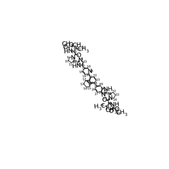 COC(=O)N[C@H](C(=O)N1CCC[C@H]1c1ncc(-c2ccc(-c3ccc(-c4ccc5nc([C@@H]6CCCN6C(=O)[C@@H](NC(=O)OC)C(C)C)[nH]c5c4)c4c3C3CCC4CC3)nc2)[nH]1)C(C)C